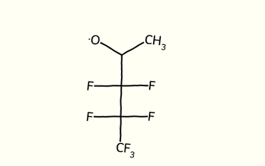 CC([O])C(F)(F)C(F)(F)C(F)(F)F